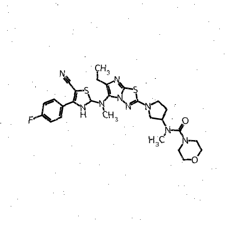 CCc1nc2sc(N3CCC(N(C)C(=O)N4CCOCC4)C3)nn2c1N(C)C1NC(c2ccc(F)cc2)=C(C#N)S1